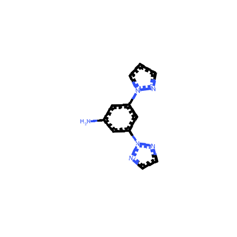 Nc1cc(-n2cccn2)cc(-n2nccn2)c1